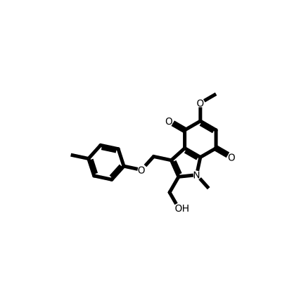 COC1=CC(=O)c2c(c(COc3ccc(C)cc3)c(CO)n2C)C1=O